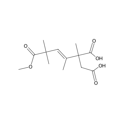 COC(=O)C(C)(C)C=C(C)C(C)(CC(=O)O)C(=O)O